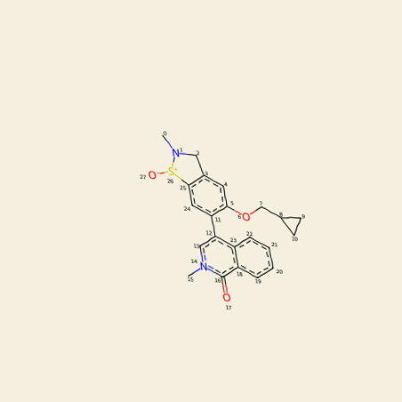 CN1Cc2cc(OCC3CC3)c(-c3cn(C)c(=O)c4ccccc34)cc2[S+]1[O-]